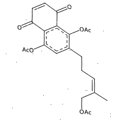 CC(=O)OCC(C)=CCCc1cc(OC(C)=O)c2c(c1OC(C)=O)C(=O)C=CC2=O